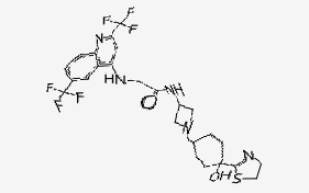 O=C(CNc1cc(C(F)(F)F)nc2ccc(C(F)(F)F)cc12)NC1CN(C2CCC(O)(C3=NCCS3)CC2)C1